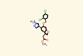 COC(=O)Cc1coc2cc(OCc3ccc(Cl)cc3Cl)c(-c3cnn(C)c3)cc12